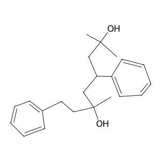 CC(C)(O)CC(CC(C)(O)CCc1ccccc1)c1ccccc1